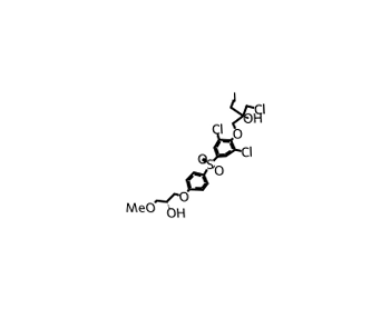 COC[C@@H](O)COc1ccc(S(=O)(=O)c2cc(Cl)c(OC[C@@](O)(CCl)CI)c(Cl)c2)cc1